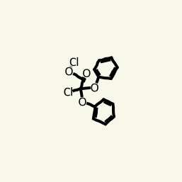 O=C(OCl)C(Cl)(Oc1ccccc1)Oc1ccccc1